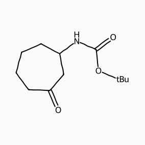 CC(C)(C)OC(=O)NC1CCCCC(=O)C1